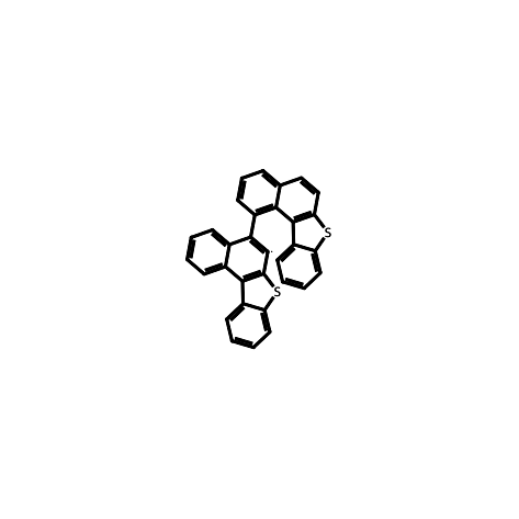 [c]1c(-c2cccc3ccc4sc5ccccc5c4c23)c2ccccc2c2c1sc1ccccc12